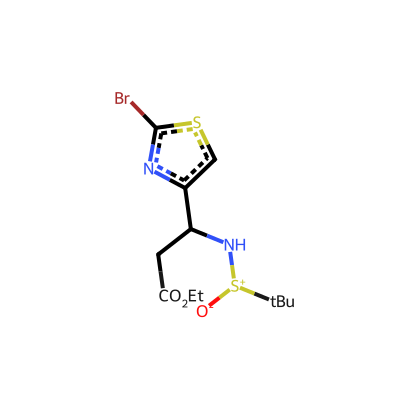 CCOC(=O)CC(N[S+]([O-])C(C)(C)C)c1csc(Br)n1